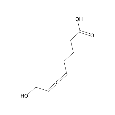 O=C(O)CCCC=C=CCO